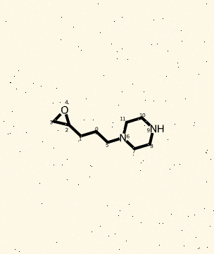 [CH](CC1CO1)CN1CCNCC1